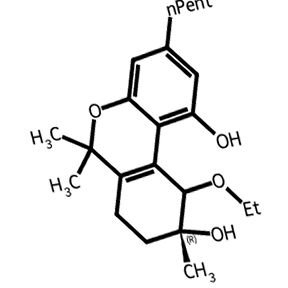 CCCCCc1cc(O)c2c(c1)OC(C)(C)C1=C2C(OCC)[C@](C)(O)CC1